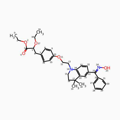 CCOC(=O)C(Cc1ccc(OCCN2CCC(C)(C)c3cc(C(=NO)c4ccccc4)ccc32)cc1)OCC